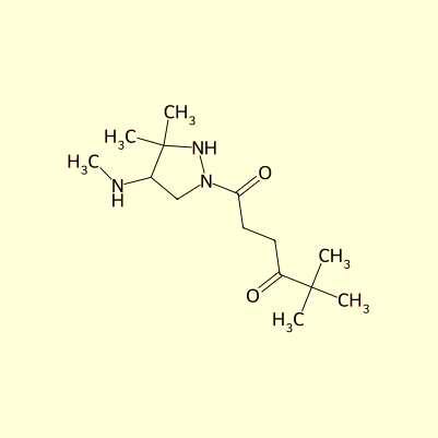 CNC1CN(C(=O)CCC(=O)C(C)(C)C)NC1(C)C